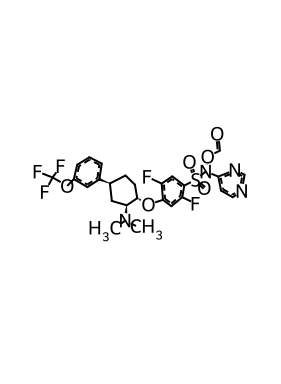 CN(C)[C@H]1C[C@@H](c2cccc(OC(F)(F)F)c2)CC[C@@H]1Oc1cc(F)c(S(=O)(=O)N(OC=O)c2ccncn2)cc1F